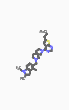 COCCc1cc2c(N3CCC4(CCN(Cc5ccc6c(cc(C#N)n6CC(F)(F)F)c5C)C4)C3)ncnc2s1